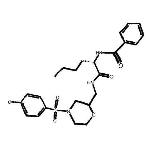 CCCC[C@H](NC(=O)c1ccccc1)C(=O)NCC1CN(S(=O)(=O)c2ccc(Cl)cc2)CCO1